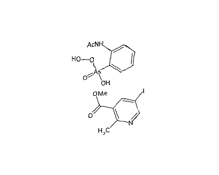 CC(=O)Nc1ccccc1[As](=O)(O)OO.COC(=O)c1cc(I)cnc1C